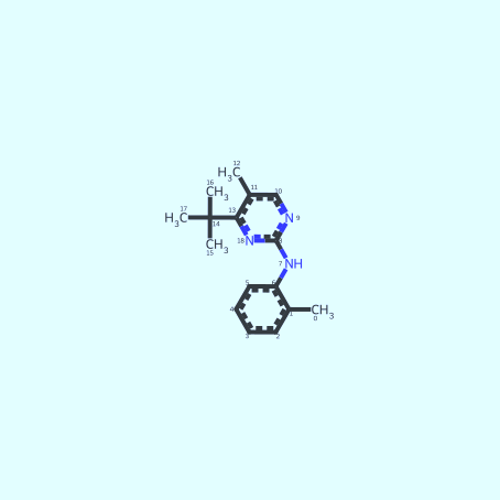 Cc1ccccc1Nc1ncc(C)c(C(C)(C)C)n1